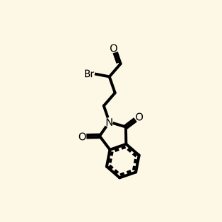 O=CC(Br)CCN1C(=O)c2ccccc2C1=O